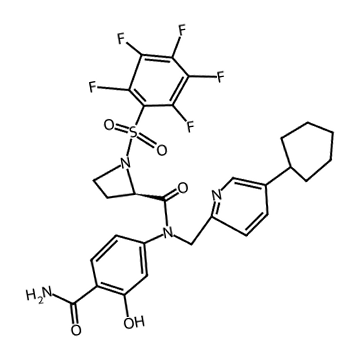 NC(=O)c1ccc(N(Cc2ccc(C3CCCCC3)cn2)C(=O)[C@H]2CCN2S(=O)(=O)c2c(F)c(F)c(F)c(F)c2F)cc1O